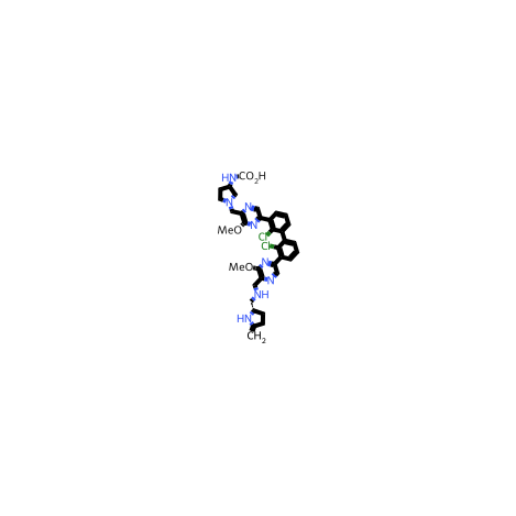 C=C1CC[C@@H](CNCc2ncc(-c3cccc(-c4cccc(-c5cnc(CN6CCC(NC(=O)O)C6)c(OC)n5)c4Cl)c3Cl)nc2OC)N1